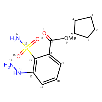 C1CCCC1.COC(=O)c1cccc(NN)c1S(N)(=O)=O